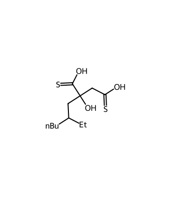 CCCCC(CC)CC(O)(CC(O)=S)C(O)=S